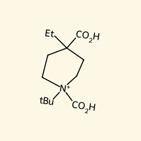 CCC1(C(=O)O)CC[N+](C(=O)O)(C(C)(C)C)CC1